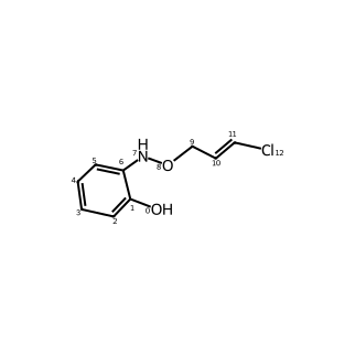 Oc1ccccc1NOCC=CCl